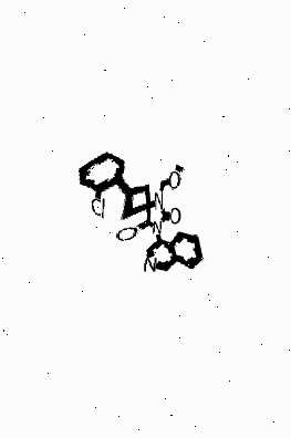 COCN1C(=O)N(c2cncc3ccccc23)C(=O)C12CC(c1ccccc1Cl)C2